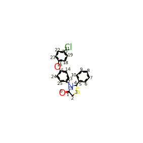 O=C1CSC(c2ccccc2)N1c1ccc(Oc2ccc(Cl)cc2)cc1